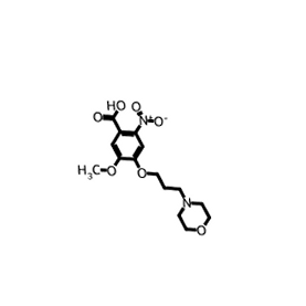 COc1cc(C(=O)O)c([N+](=O)[O-])cc1OCCCN1CCOCC1